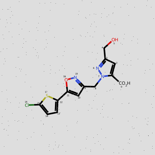 O=C(O)c1cc(CO)nn1Cc1cc(-c2ccc(Cl)s2)on1